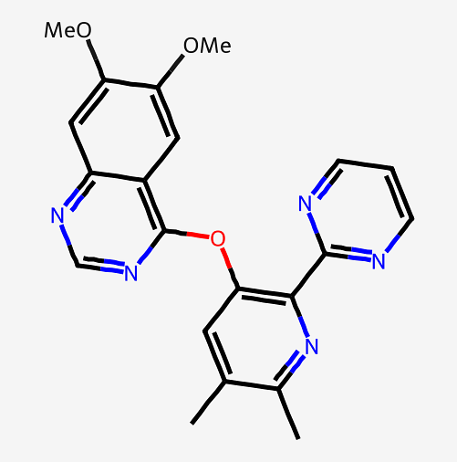 COc1cc2ncnc(Oc3cc(C)c(C)nc3-c3ncccn3)c2cc1OC